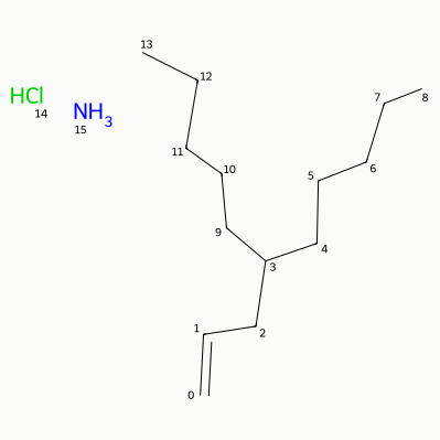 C=CCC(CCCCC)CCCCC.Cl.N